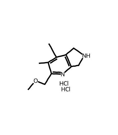 COCc1nc2c(c(C)c1C)CNC2.Cl.Cl